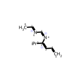 C=C\C=C(/N=C\N=C\C)C(C)C